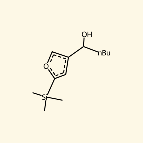 CCCCC(O)c1coc([Si](C)(C)C)c1